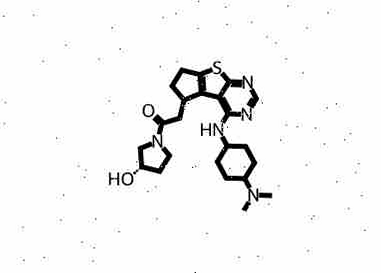 CN(C)C1CCC(Nc2ncnc3sc4c(c23)C(CC(=O)N2CC[C@H](O)C2)CC4)CC1